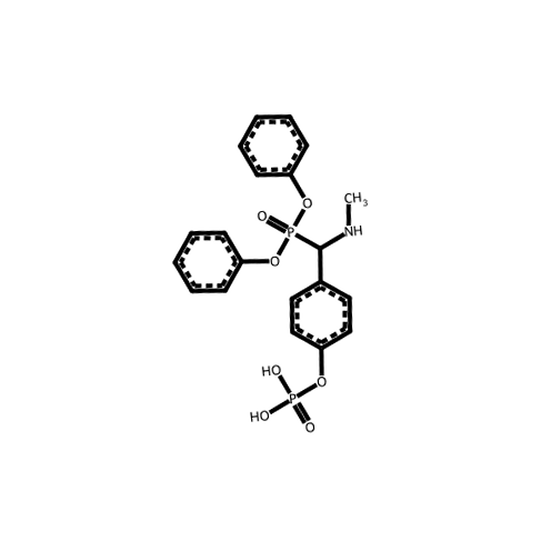 CNC(c1ccc(OP(=O)(O)O)cc1)P(=O)(Oc1ccccc1)Oc1ccccc1